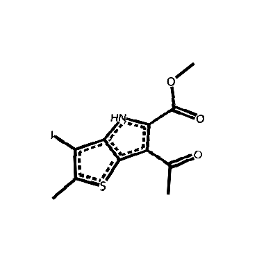 COC(=O)c1[nH]c2c(I)c(C)sc2c1C(C)=O